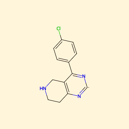 Clc1ccc(-c2n[c]nc3c2CNCC3)cc1